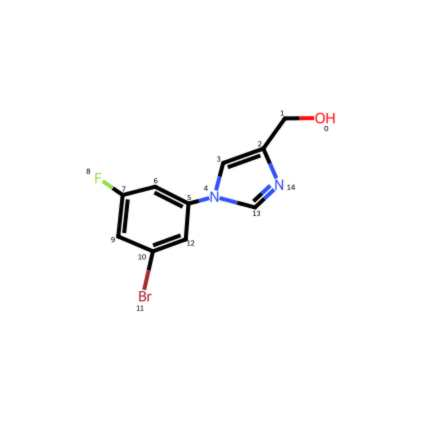 OCc1cn(-c2cc(F)cc(Br)c2)cn1